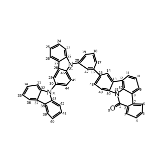 O=c1c2ccccc2c2cccc3c4cc(-c5cccc(-n6c7ccccc7c7cc(-n8c9ccccc9c9ccccc98)ccc76)c5)ccc4n1c23